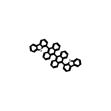 c1ccc2c(c1)sc1c(-c3c4ccccc4c(-c4c5ccccc5c(-c5cccc6c5sc5ccccc56)c5ccccc45)c4ccccc34)cccc12